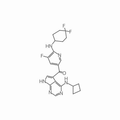 O=C(c1cnc(NC2CCC(F)(F)CC2)c(F)c1)c1c[nH]c2ncnc(NC3CCC3)c12